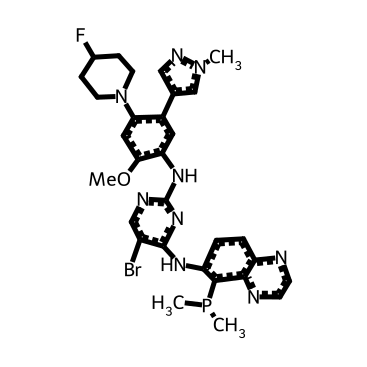 COc1cc(N2CCC(F)CC2)c(-c2cnn(C)c2)cc1Nc1ncc(Br)c(Nc2ccc3nccnc3c2P(C)C)n1